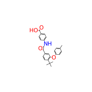 Cc1ccc(Oc2cc(C3OC3Nc3ccc(C(=O)O)cc3)ccc2C(C)(C)C)cc1